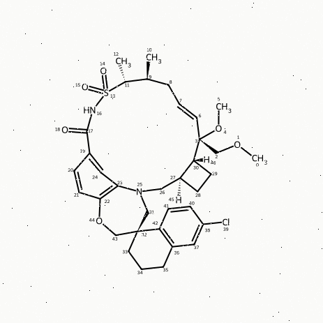 COC[C@]1(OC)/C=C/C[C@H](C)[C@@H](C)S(=O)(=O)NC(=O)c2ccc3c(c2)N(C[C@@H]2CC[C@H]21)C[C@@]1(CCCc2cc(Cl)ccc21)CO3